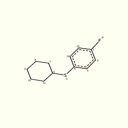 Fc1ccc(SC2CCCCC2)cc1